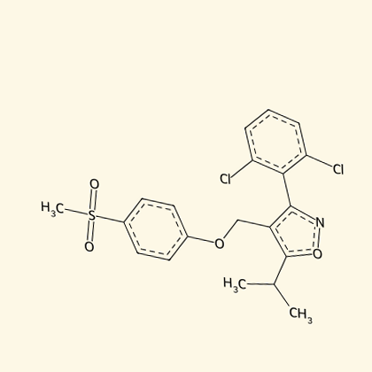 CC(C)c1onc(-c2c(Cl)cccc2Cl)c1COc1ccc(S(C)(=O)=O)cc1